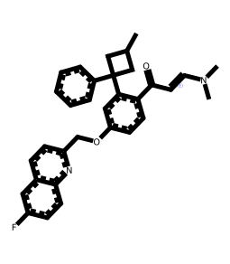 CC1CC(c2ccccc2)(c2cc(OCc3ccc4cc(F)ccc4n3)ccc2C(=O)/C=C/N(C)C)C1